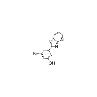 Oc1cc(Br)cc(-c2nc3ncccn3n2)n1